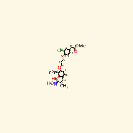 CCCc1c(OCCCSc2ccc(CC(=O)OC)cc2Cl)ccc(CC(C)C=NO)c1O